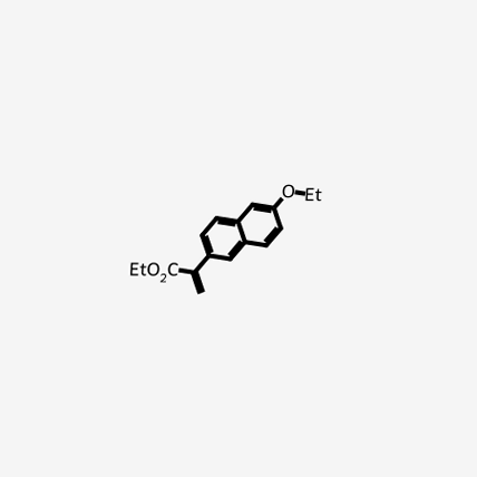 C=C(C(=O)OCC)c1ccc2cc(OCC)ccc2c1